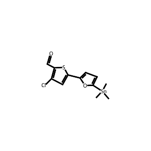 [CH3][Sn]([CH3])([CH3])[c]1ccc(-c2cc(Cl)c(C=O)s2)o1